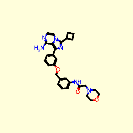 Nc1nccn2c(C3CCC3)nc(-c3cccc(OCc4cccc(NC(=O)CN5CCOCC5)c4)c3)c12